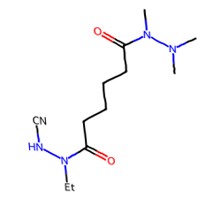 CCN(NC#N)C(=O)CCCCC(=O)N(C)N(C)C